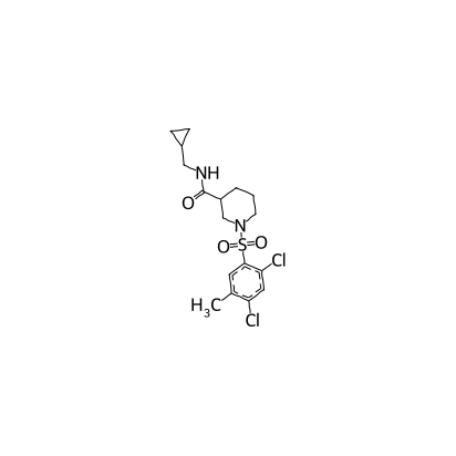 Cc1cc(S(=O)(=O)N2CCCC(C(=O)NCC3CC3)C2)c(Cl)cc1Cl